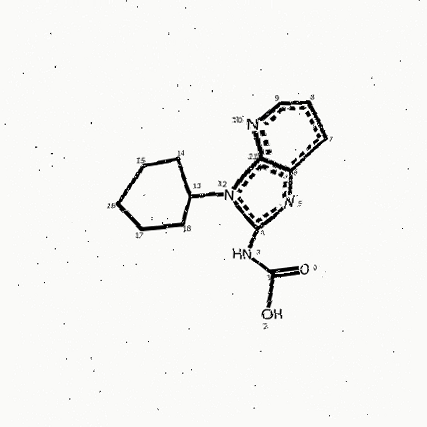 O=C(O)Nc1nc2cccnc2n1C1CCCCC1